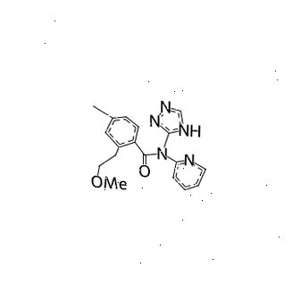 COCCc1cc(C)ccc1C(=O)N(c1ccccn1)c1nnc[nH]1